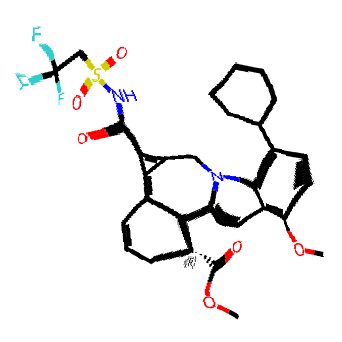 COC(=O)[C@@H]1CC=CC2=C3C(=C3C(=O)NS(=O)(=O)CC(F)(F)F)Cn3c(cc4c(OC)ccc(C5CCCCC5)c43)C21